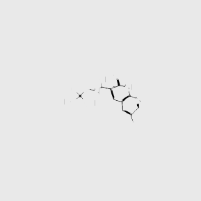 C[C@H](NSC(C)(C)C)c1cc2cc(Cl)cnc2[nH]c1=O